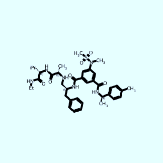 CCNC(=O)[C@@H](NC(=O)[C@H](C)NC[C@H](Cc1ccccc1)NC(=O)c1cc(C(=O)N[C@H](C)c2ccc(C)cc2)cc(N(C)S(C)(=O)=O)c1)C(C)C